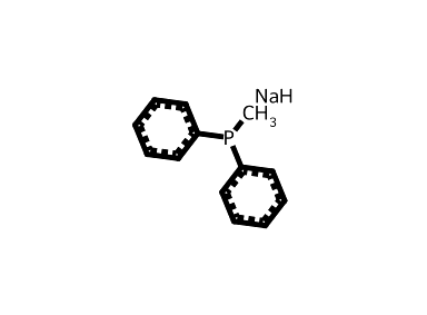 CP(c1ccccc1)c1ccccc1.[NaH]